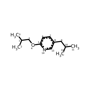 CC(C)COc1ccc(CC(C)C)cn1